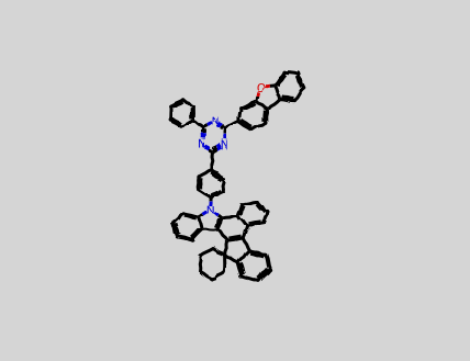 c1ccc(-c2nc(-c3ccc(-n4c5ccccc5c5c6c(c7ccccc7c54)-c4ccccc4C64CCCCC4)cc3)nc(-c3ccc4c(c3)oc3ccccc34)n2)cc1